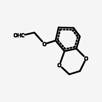 O=CCOc1cccc2c1OCCO2